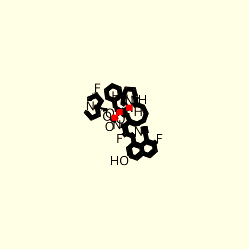 C#Cc1c(F)ccc2cc(O)cc(-c3nc4c5c(nc(OC[C@@]67CCCN6C[C@H](F)C7)nc5c3F)N3C[C@H]5CC[C@@H]([C@H]3CCC4)N5Cc3oc(=O)oc3C3CCCCC3)c12